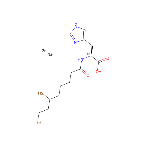 O=C(CCCCC(S)CCS)N[C@@H](Cc1c[nH]cn1)C(=O)O.[Na].[Zn]